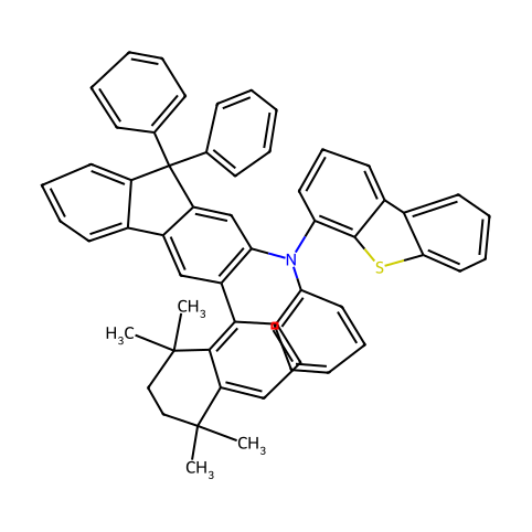 CC1(C)CCC(C)(C)c2c(-c3cc4c(cc3N(c3ccccc3)c3cccc5c3sc3ccccc35)C(c3ccccc3)(c3ccccc3)c3ccccc3-4)cccc21